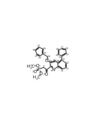 COP(=O)(CC(=O)c1nc2cccc(-c3ccccc3)c2cc1OCc1ccccc1)OC